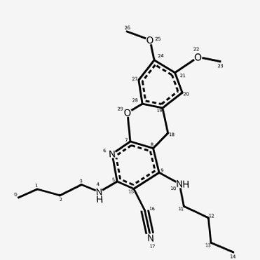 CCCCNc1nc2c(c(NCCCC)c1C#N)Cc1cc(OC)c(OC)cc1O2